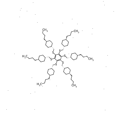 CCCC[C@H]1CC[C@H](CSc2c(SC[C@H]3CC[C@H](CCCC)CC3)c(SC[C@H]3CC[C@H](CCCC)CC3)c(SC[C@H]3CC[C@H](CCCC)CC3)c(SC[C@H]3CC[C@H](CCCC)CC3)c2SC[C@H]2CC[C@H](CCCC)CC2)CC1